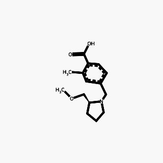 COC[C@@H]1CCCN1Cc1ccc(C(=O)O)c(C)c1